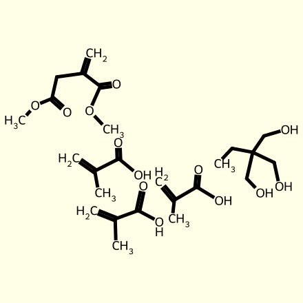 C=C(C)C(=O)O.C=C(C)C(=O)O.C=C(C)C(=O)O.C=C(CC(=O)OC)C(=O)OC.CCC(CO)(CO)CO